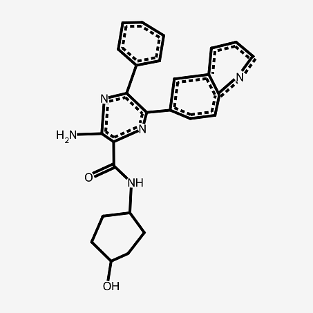 Nc1nc(-c2ccccc2)c(-c2ccc3ncccc3c2)nc1C(=O)NC1CCC(O)CC1